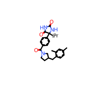 Cc1ccc(CC2CCN(C(=O)c3ccc(C4(C(C)C)NC(=O)NC4=O)cc3)C2)c(C)c1